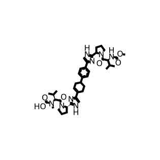 COC(=O)N[C@H](C(=O)N1CCCC1c1nc(-c2ccc(C3CC=C(c4c[nH]c([C@@H]5CCCN5C(=O)[C@H](C(C)C)N(C)C(=O)O)n4)CC3)cc2)c[nH]1)C(C)C